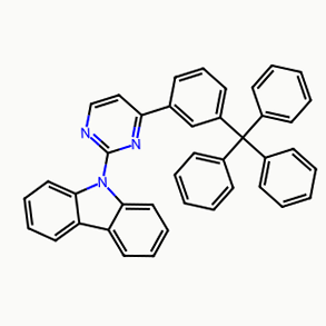 c1ccc(C(c2ccccc2)(c2ccccc2)c2cccc(-c3ccnc(-n4c5ccccc5c5ccccc54)n3)c2)cc1